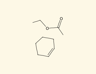 C1=CCCCC1.CCOC(C)=O